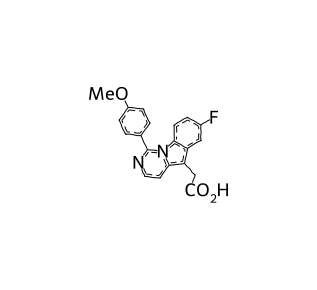 COc1ccc(-c2nccc3c(CC(=O)O)c4cc(F)ccc4n23)cc1